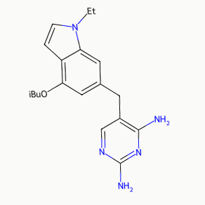 CCn1ccc2c(OCC(C)C)cc(Cc3cnc(N)nc3N)cc21